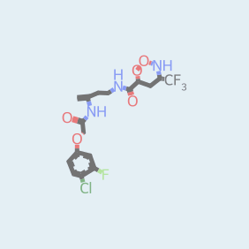 C=C(CCNC(=O)C1CC(C(F)(F)F)NOO1)NC(=O)COc1ccc(Cl)c(F)c1